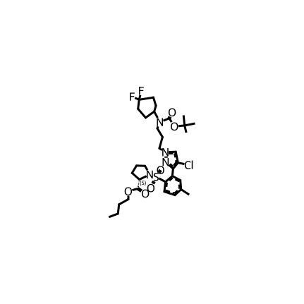 CCCCOC(=O)[C@@H]1CCCN1S(=O)(=O)c1ccc(C)cc1-c1nn(CCCN(C(=O)OC(C)(C)C)C2CCC(F)(F)CC2)cc1Cl